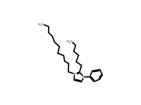 CCCCCCCCCCC[n+]1ccn(-c2ccccc2)c1CCCCCC